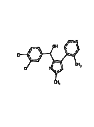 Cc1cnccc1-c1cn(C)nc1C(O)c1ccc(Cl)c(Cl)c1